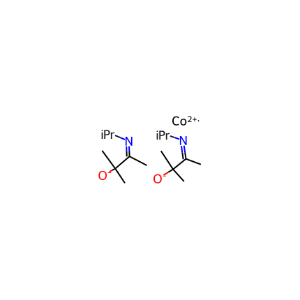 CC(=NC(C)C)C(C)(C)[O-].CC(=NC(C)C)C(C)(C)[O-].[Co+2]